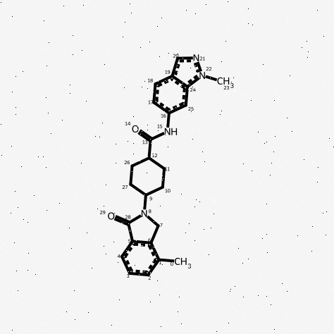 Cc1cccc2c1CN(C1CCC(C(=O)Nc3ccc4cnn(C)c4c3)CC1)C2=O